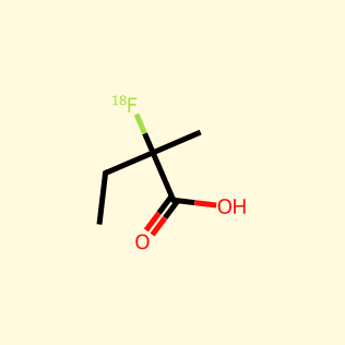 CCC(C)([18F])C(=O)O